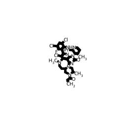 C=CC(=O)N1CC2CCN(C)c3c(Cl)c(-c4c(N)c(Cl)cc(Cl)c4F)nc4c3c(nc(=O)n4-c3c(C)ccnc3C(C)C)N2CC1C